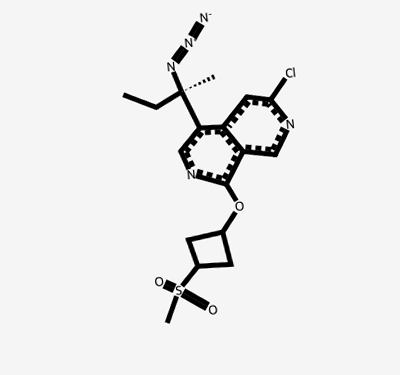 CC[C@@](C)(N=[N+]=[N-])c1cnc(OC2CC(S(C)(=O)=O)C2)c2cnc(Cl)cc12